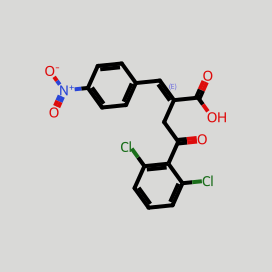 O=C(O)/C(=C/c1ccc([N+](=O)[O-])cc1)CC(=O)c1c(Cl)cccc1Cl